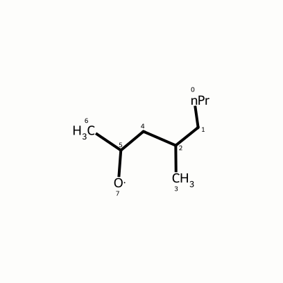 CCCCC(C)CC(C)[O]